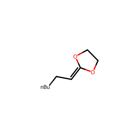 CCCCCC=C1OCCO1